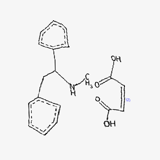 CNC(Cc1ccccc1)c1ccccc1.O=C(O)/C=C\C(=O)O